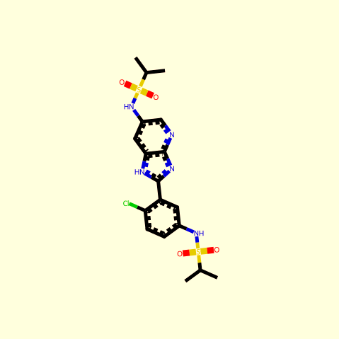 CC(C)S(=O)(=O)Nc1ccc(Cl)c(-c2nc3ncc(NS(=O)(=O)C(C)C)cc3[nH]2)c1